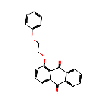 O=C1c2ccccc2C(=O)c2c(OCCOc3ccccc3)cccc21